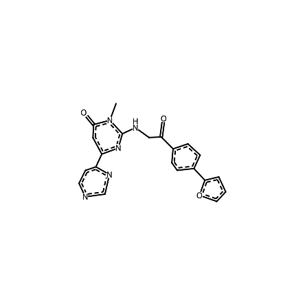 Cn1c(NCC(=O)c2ccc(-c3ccco3)cc2)nc(-c2ccncn2)cc1=O